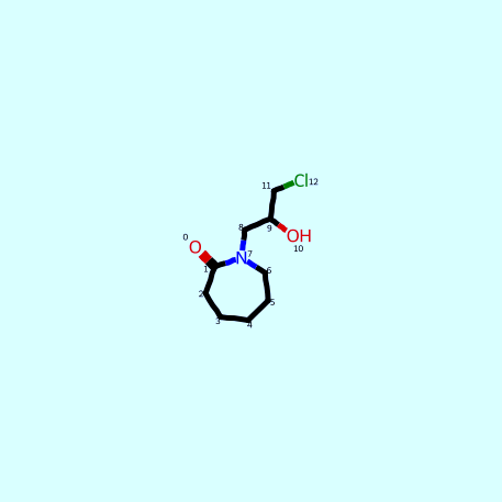 O=C1CCCCCN1CC(O)CCl